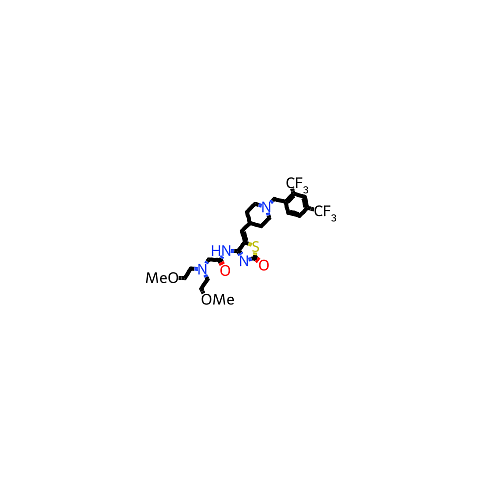 COCCN(CCOC)CC(=O)NC1=NC(=O)S/C1=C\C1CCN(Cc2ccc(C(F)(F)F)cc2C(F)(F)F)CC1